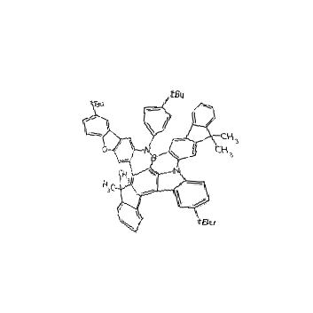 CC(C)(C)c1ccc(N2B3c4cc5c(cc4-n4c6ccc(C(C)(C)C)cc6c6c7c(c(c3c64)-c3cc4oc6ccc(C(C)(C)C)cc6c4cc32)C(C)(C)c2ccccc2-7)C(C)(C)c2ccccc2-5)cc1